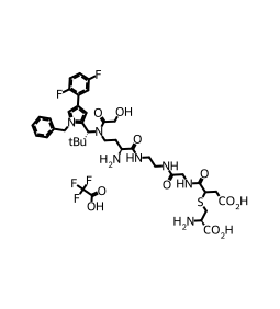 CC(C)(C)[C@H](c1cc(-c2cc(F)ccc2F)cn1Cc1ccccc1)N(CC[C@H](N)C(=O)NCCNC(=O)CNC(=O)C(CC(=O)O)SC[C@H](N)C(=O)O)C(=O)CO.O=C(O)C(F)(F)F